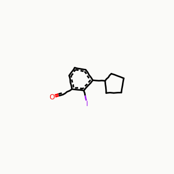 O=Cc1cccc(C2CCCC2)c1I